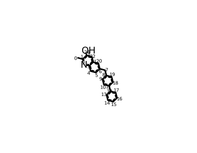 Cc1nc2ccc(Cc3ccc(-c4ccccc4)cc3)cc2cc1O